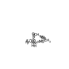 CC(=O)N1CC(Oc2ccc(C(F)(F)F)cc2NC(=O)NC2CC3(C2)CN(C(=O)c2cnn4ccn(C)c24)C3)C1